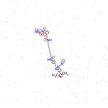 Cc1noc(C)c1-c1ccc2c(c1)nc(CCc1ccc(NC(=O)CCCCCCCCCCCNC(=O)COc3cccc4c3C(=O)N(C3CCC(=O)NC3=O)C4=O)cc1)n2CCN1CCOCC1